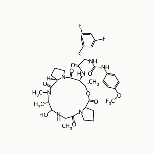 C[C@@H]1NC(O)[C@H](C)N(C)C(=O)[C@@H]2CCCN2C(=O)[C@@H](NC(=O)[C@H](Cc2cc(F)cc(F)c2)NC(=O)Nc2ccc(OC(F)(F)F)cc2)[C@H](C)OC(=O)C2CCCN2C1=O